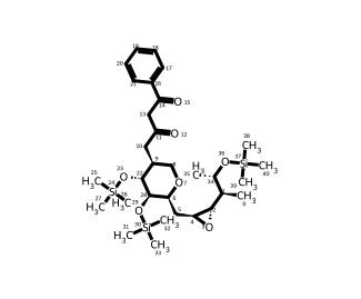 C[C@@H]([C@@H]1O[C@H]1C[C@@H]1OC[C@H](CC(=O)CC(=O)c2ccccc2)[C@@H](O[Si](C)(C)C)[C@@H]1O[Si](C)(C)C)[C@H](C)O[Si](C)(C)C